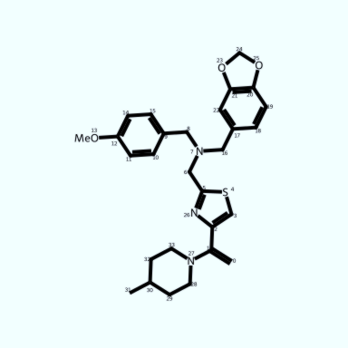 C=C(c1csc(CN(Cc2ccc(OC)cc2)Cc2ccc3c(c2)OCO3)n1)N1CCC(C)CC1